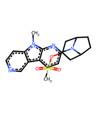 Cn1c2ccncc2c2ccc(N3C4CCC3CC(OS(C)(=O)=O)C4)nc21